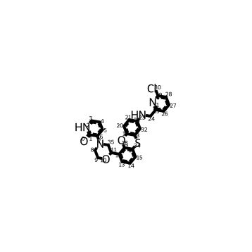 O=c1[nH]cccc1N1CCOC(c2cccc3c2Oc2ccc(NCc4cccc(Cl)n4)cc2S3)C1